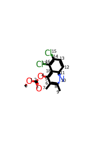 COC(=O)Oc1c(C)c(C)nc2ccc(Cl)c(Cl)c12